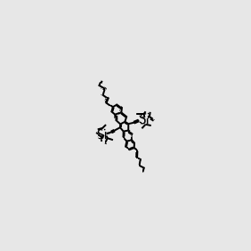 CCCC/C=C/c1ccc2cc3c(C#C[Si](C(C)C)(C(C)C)C(C)C)c4cc5cc(/C=C/CCCC)ccc5cc4c(C#C[Si](C(C)C)(C(C)C)C(C)C)c3cc2c1